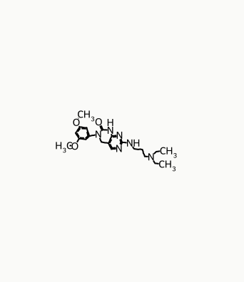 CCN(CC)CCCNc1ncc2c(n1)NC(=O)N(c1cc(OC)cc(OC)c1)C2